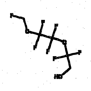 OCC(F)(F)OC(F)(F)C(F)(F)OCF